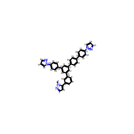 Cn1nccc1-c1cccc(-c2cc(-c3ccc(-c4ccc(-n5cccn5)cc4)cc3)cc(-c3ccc(-n4cccn4)cc3)c2)c1